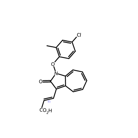 Cc1cc(Cl)ccc1On1c2cccccc-2c(/C=C/C(=O)O)c1=O